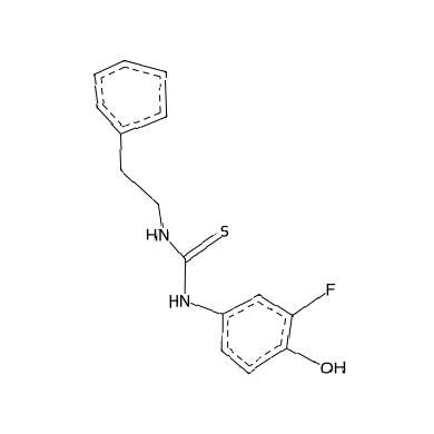 Oc1ccc(NC(=S)NCCc2ccccc2)cc1F